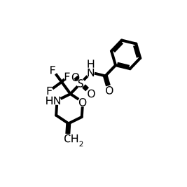 C=C1CNC(C(F)(F)F)(S(=O)(=O)NC(=O)c2ccccc2)OC1